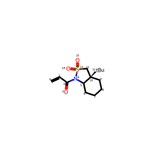 C=CC(=O)N1C2CCCC[C@@]2(C(C)(C)C)CS1(=O)=O